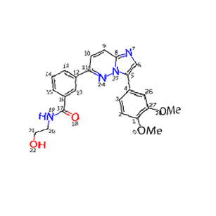 COc1ccc(-c2cnc3ccc(-c4cccc(C(=O)NCCO)c4)nn23)cc1OC